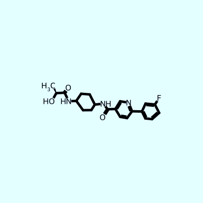 C[C@H](O)C(=O)NC1CCC(NC(=O)c2ccc(-c3cccc(F)c3)nc2)CC1